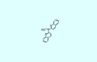 OCN(c1ccc2ccccc2n1)c1ccc2ccccc2n1